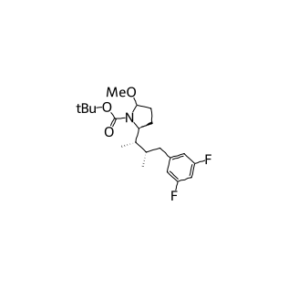 COC1CC[C@@H]([C@@H](C)[C@@H](C)Cc2cc(F)cc(F)c2)N1C(=O)OC(C)(C)C